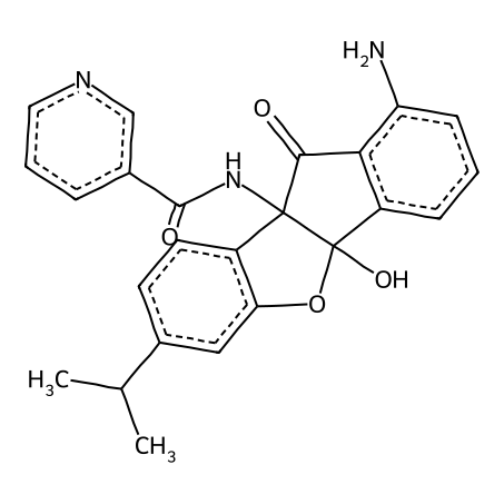 CC(C)c1ccc2c(c1)OC1(O)c3cccc(N)c3C(=O)C21NC(=O)c1cccnc1